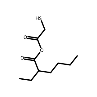 CCCCC(CC)C(=O)OC(=O)CS